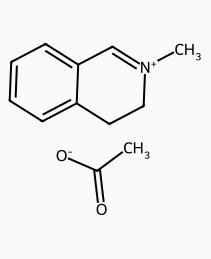 CC(=O)[O-].C[N+]1=Cc2ccccc2CC1